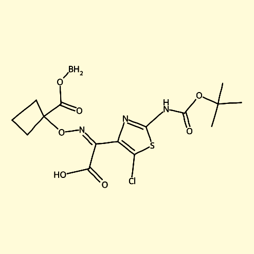 BOC(=O)C1(O/N=C(\C(=O)O)c2nc(NC(=O)OC(C)(C)C)sc2Cl)CCC1